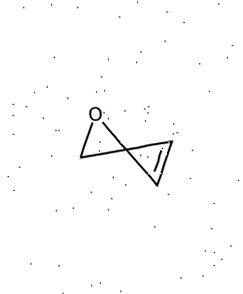 C1=CC12CO2